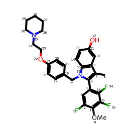 COc1c(F)cc(-c2c(C)c3cc(O)ccc3n2Cc2ccc(OCCN3CCCCC3)cc2)c(F)c1F